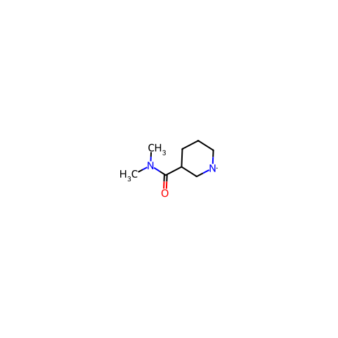 CN(C)C(=O)C1CCC[N]C1